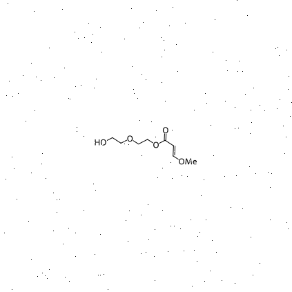 COC=CC(=O)OCCOCCO